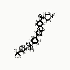 CN1CCN(C(=O)c2ccc3c(c2)sc2nc(-c4ccc(NC(=O)Nc5cc(C(C)(C)C)on5)cc4)cn23)CC1